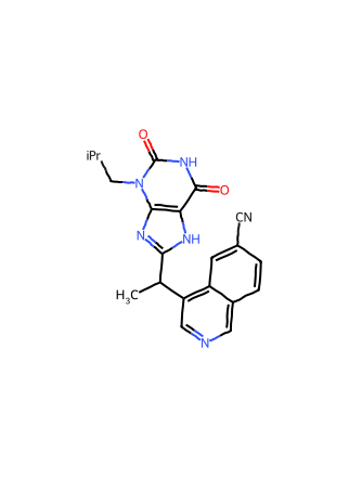 CC(C)Cn1c(=O)[nH]c(=O)c2[nH]c(C(C)c3cncc4ccc(C#N)cc34)nc21